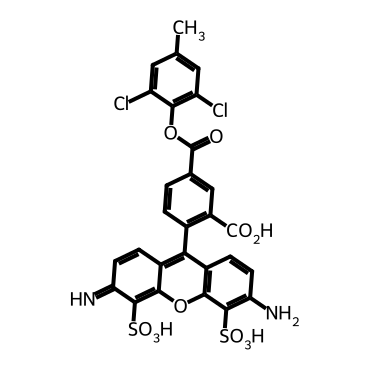 Cc1cc(Cl)c(OC(=O)c2ccc(-c3c4ccc(=N)c(S(=O)(=O)O)c-4oc4c(S(=O)(=O)O)c(N)ccc34)c(C(=O)O)c2)c(Cl)c1